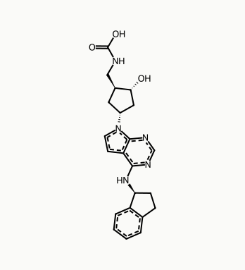 O=C(O)NC[C@@H]1C[C@@H](n2ccc3c(N[C@H]4CCc5ccccc54)ncnc32)C[C@H]1O